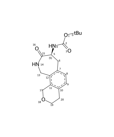 CC(C)(C)OC(=O)N[C@H]1Cc2ccc3c(c2CNC1=O)COCC3